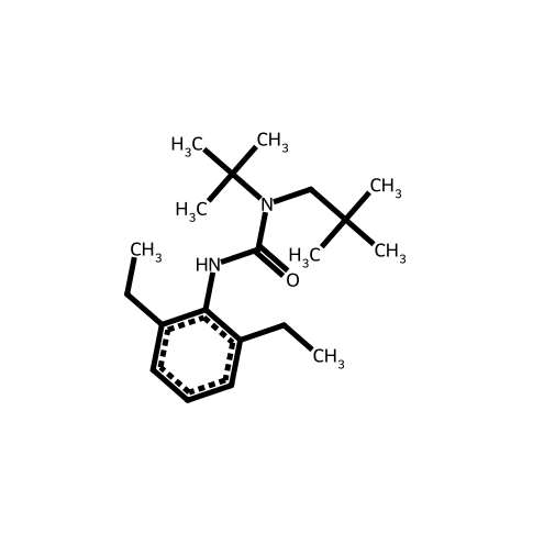 CCc1cccc(CC)c1NC(=O)N(CC(C)(C)C)C(C)(C)C